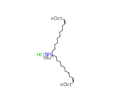 CCCCCCCC/C=C\CCCCCCCCCC(CCCCCCCC/C=C\CCCCCCCC)C(C)(C)C.Cl.N